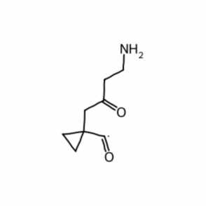 NCCC(=O)CC1([C]=O)CC1